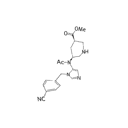 COC(=O)[C@H]1CNC[C@@H](N(C(C)=O)c2cncn2Cc2ccc(C#N)cc2)C1